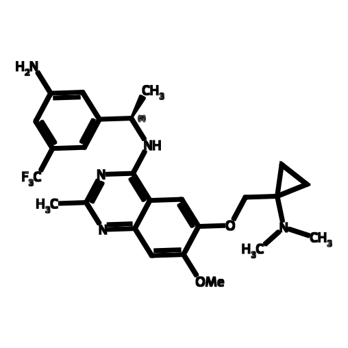 COc1cc2nc(C)nc(N[C@H](C)c3cc(N)cc(C(F)(F)F)c3)c2cc1OCC1(N(C)C)CC1